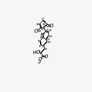 COC(=O)/C(O)=C/c1ccc2nc(-c3c(Cl)cccc3Cl)ccc2c1